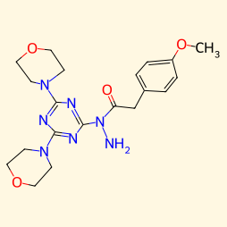 COc1ccc(CC(=O)N(N)c2nc(N3CCOCC3)nc(N3CCOCC3)n2)cc1